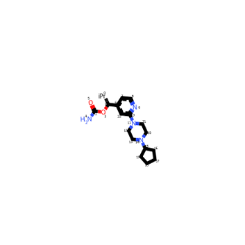 CC(C)C(OC(N)=O)c1ccnc(N2CCN(C3CCCC3)CC2)c1